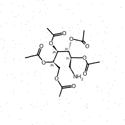 CC(=O)OC[C@@H](OC(C)=O)[C@@H](OC(C)=O)[C@H](OC(C)=O)[C@H](CN)OC(C)=O